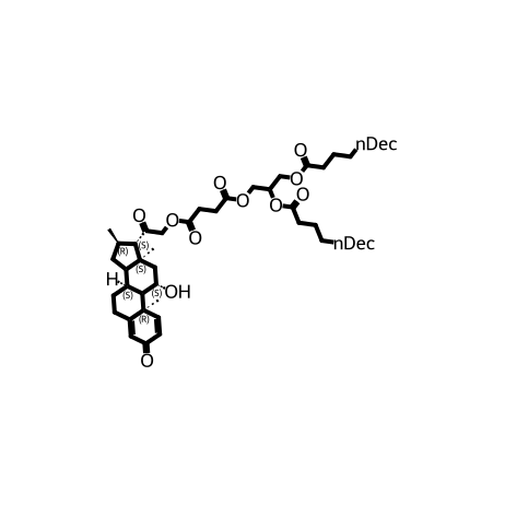 CCCCCCCCCCCCCC(=O)OCC(COC(=O)CCC(=O)OCC(=O)[C@H]1[C@H](C)CC2[C@@H]3CCC4=CC(=O)C=C[C@]4(C)C3[C@@H](O)C[C@@]21C)OC(=O)CCCCCCCCCCCCC